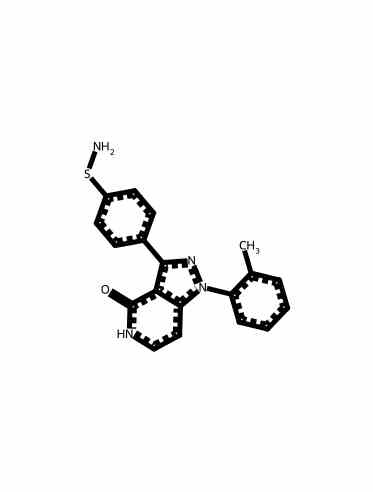 Cc1ccccc1-n1nc(-c2ccc(SN)cc2)c2c(=O)[nH]ccc21